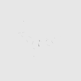 COc1ccc(NC(=O)c2ccc(NS(=O)(=O)CCO)cc2N2CCC3(CC2)CC3)nc1N1CCC2(CC2)C1